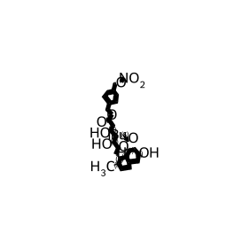 CC[C@H](C)C(=O)O[C@H]1C[C@H](O)C=C2C=C[C@H](C)[C@H](CC[C@@H](O)C[C@@H](O)CC(=O)OCc3ccc(CO[N+](=O)[O-])cc3)[C@H]21